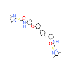 Cc1cc(C)nc(SCC(=O)Nc2cccc(Cc3ccc(-c4cccc(Oc5cccc(NC(=O)CSc6nc(C)cc(C)n6)c5)c4)cc3)c2)n1